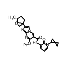 CC(C)Oc1nc2nc(C34CC[C@@](C)(C3)OC4)cn2cc1C(=O)Nc1cccn(C2CC23CC3)c1=O